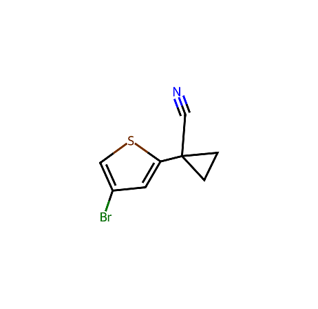 N#CC1(c2cc(Br)cs2)CC1